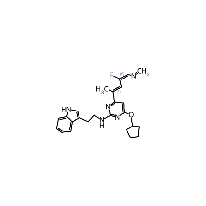 C=N/C=C(F)\C=C(/C)c1cc(OC2CCCC2)nc(NCCc2c[nH]c3ccccc23)n1